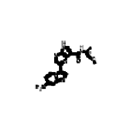 COC[C@H](C)NC(=O)c1c[nH]c2ncc(-c3cnc4cc(N)ccn34)nc12